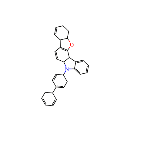 C1=CCC(C2=CCC(N3c4ccccc4C4C5=C(C=CC43)C3C=CCCC3O5)C=C2)C=C1